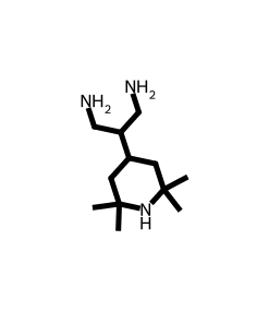 CC1(C)CC(C(CN)CN)CC(C)(C)N1